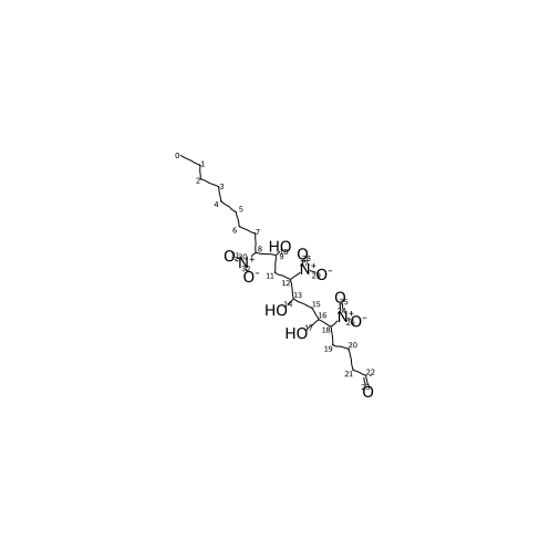 CCCCCCCCC(C(O)CC(C(O)CC(O)C(CCC[C]=O)[N+](=O)[O-])[N+](=O)[O-])[N+](=O)[O-]